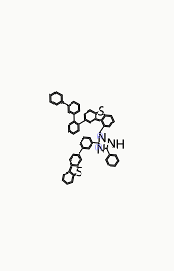 N=C(/N=C(\N=C\c1cccc2sc3ccc(-c4ccccc4-c4cccc(-c5ccccc5)c4)cc3c12)c1cccc(-c2ccc3c(c2)sc2ccccc23)c1)c1ccccc1